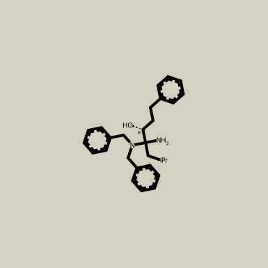 CC(C)CC(N)([C@H](O)CCc1ccccc1)N(Cc1ccccc1)Cc1ccccc1